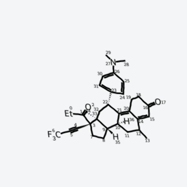 CCC(=O)[C@@]1(C#CC(F)(F)F)CC[C@H]2[C@@H]3CC(C)C4=CC(=O)CCC4=C3[C@@H](c3ccc(N(C)C)cc3)C[C@@]21C